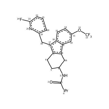 CC(C)C(=O)NC1CCc2c(c3cc(OC(F)(F)F)ccc3n2Cc2cccc(F)n2)C1